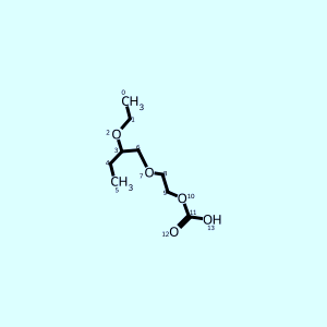 CCOC(CC)COCCOC(=O)O